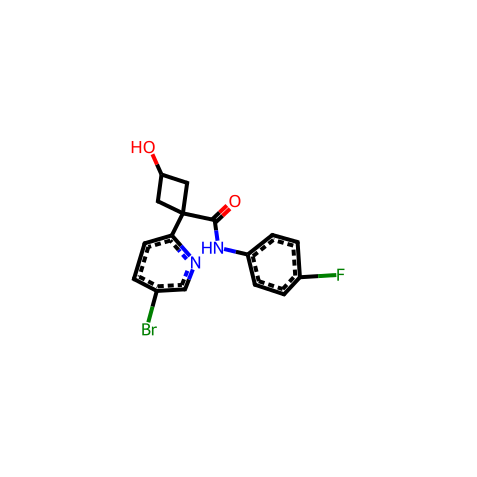 O=C(Nc1ccc(F)cc1)C1(c2ccc(Br)cn2)CC(O)C1